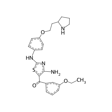 CCOc1cccc(C(=O)c2sc(Nc3ccc(OCCC4CCCN4)cc3)nc2N)c1